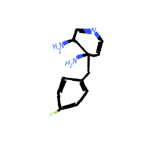 NC1C=NC=CC1(N)Cc1ccc(F)cc1